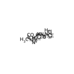 CC(C)(CC(=O)O)Cc1ncc(-c2ccc(NC(=O)Nc3ccccc3Cl)cc2)s1